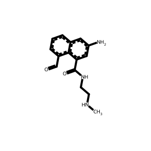 CNCCNC(=O)c1cc(N)cc2cccc(C=O)c12